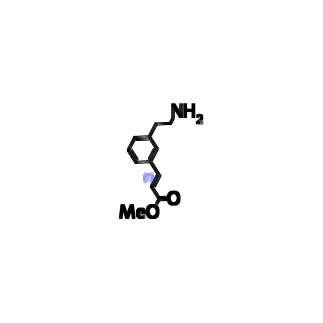 COC(=O)/C=C/c1cccc(CCN)c1